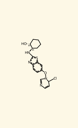 O[C@@H]1CCCC[C@H]1Nc1nc2ccc(ON3C=NC=CC3Cl)cc2s1